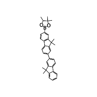 CC1OB(c2ccc3c(c2)C(C)(C)c2cc(-c4ccc5c(c4)C(C)(C)c4ccccc4-5)ccc2-3)OC1(C)C